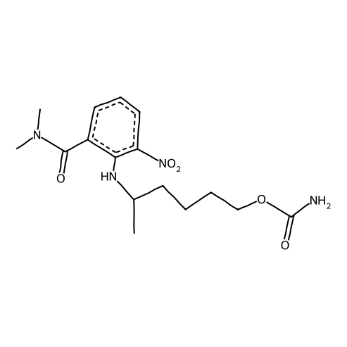 CC(CCCCOC(N)=O)Nc1c(C(=O)N(C)C)cccc1[N+](=O)[O-]